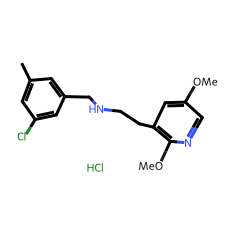 COc1cnc(OC)c(CCNCc2cc(C)cc(Cl)c2)c1.Cl